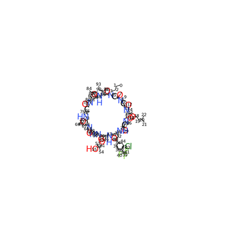 CCCCN1CC(=O)N(C)CC(=O)N(C)[C@@H](COCCC(C)C)C(=O)N(C)CC(=O)N[C@@H](CCc2ccc(C(F)(F)F)c(Cl)c2)C(=O)N[C@@H](COCC(C)(C)O)C(=O)NC(C)(C)C(=O)N(C)[C@@H](CC(C)C)C(=O)N[C@H](C)CC(=O)N(C)[C@@H](CC(C)C)C(=O)N[C@@H]([C@@H](C)CC)C1=O